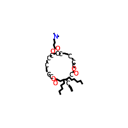 C=C=C=C=C1C(CCCCC)CC(=O)OCCCCCCCCC(OC(=O)CCCN(C)C)CCCCCCCCOC(=O)CC1CCCCC